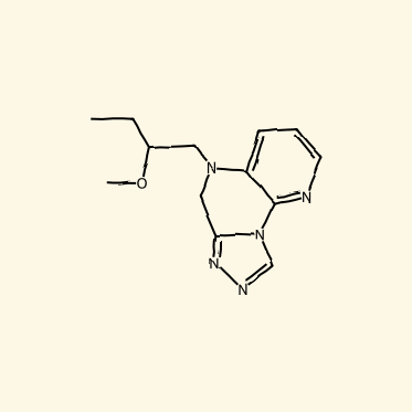 CCC(CN1Cc2nncn2-c2ncccc21)OC